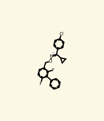 Fc1ccc(CO/N=C(/c2ccc(Cl)cc2)C2CC2)c(F)c1-c1ccccc1